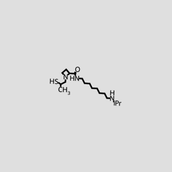 CC(S)CN1CCC1C(=O)NCCCCCCCCNC(C)C